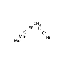 C.[Cr].[Mn].[Mo].[Ni].[P].[S].[Si]